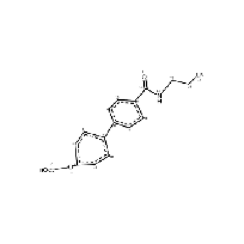 CCCCCCCCOc1ccc(-c2ccc(C(=O)NCCC#N)cc2)cc1